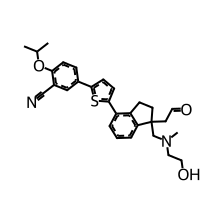 CC(C)Oc1ccc(-c2ccc(-c3cccc4c3CCC4(CC=O)CN(C)CCO)s2)cc1C#N